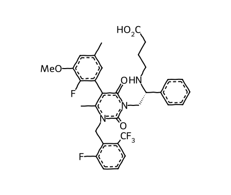 COc1cc(C)cc(-c2c(C)n(Cc3c(F)cccc3C(F)(F)F)c(=O)n(C[C@H](NCCCC(=O)O)c3ccccc3)c2=O)c1F